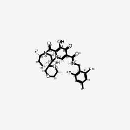 Cc1cc(F)c(CNC(=O)c2cn3c(c(O)c2=O)C(=O)N2C[C@@H]3[C@]3(CC[C@@H]2C)COCCO3)c(F)c1